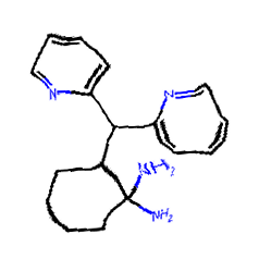 NC1(N)CCCCC1C(c1ccccn1)c1ccccn1